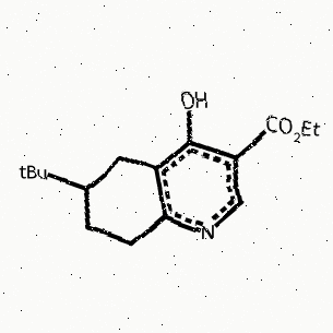 CCOC(=O)c1cnc2c(c1O)CC(C(C)(C)C)CC2